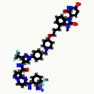 Cn1c(=O)n(C2CCC(=O)NC2=O)c2cccc(CCCOC3CCN(C[C@H]4CC[C@H](n5cc(NC(=O)c6cnn7ccc(N[C@@H]8CCCC(F)(F)[C@@H]8N)nc67)c(C(F)F)n5)CC4)CC3)c21